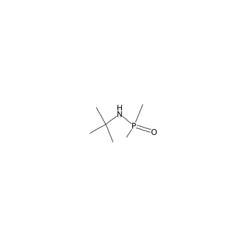 CC(C)(C)NP(C)(C)=O